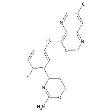 NC1=NC(c2cc(Nc3ncnc4cc(Cl)cnc34)ccc2F)CCO1